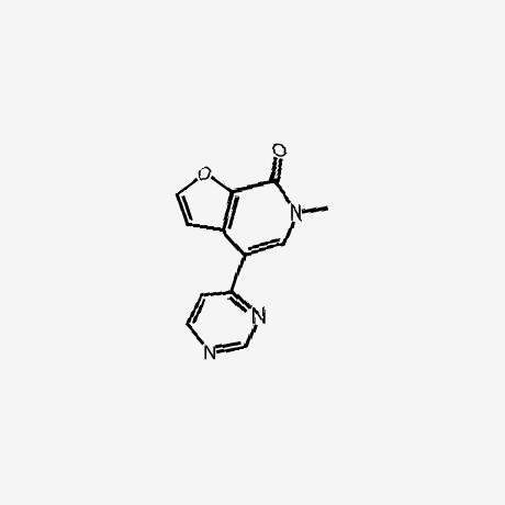 Cn1cc(-c2ccncn2)c2ccoc2c1=O